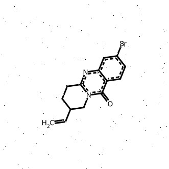 C=CC1CCc2nc3cc(Br)ccc3c(=O)n2C1